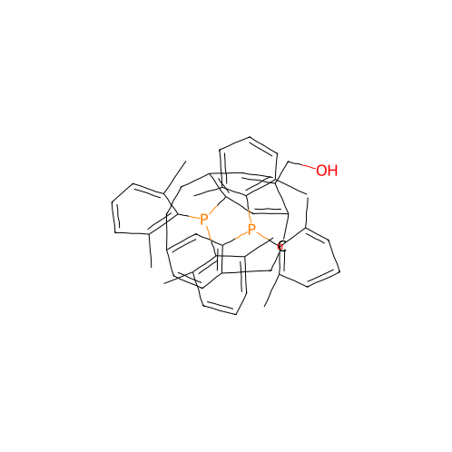 Cc1cccc(C)c1P(c1cc2c(CO)cc1CCc1ccc(c(P(c3c(C)cccc3C)c3c(C)cccc3C)c1)CC2)c1c(C)cccc1C